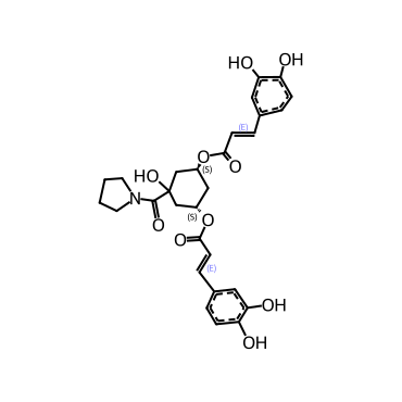 O=C(/C=C/c1ccc(O)c(O)c1)O[C@H]1C[C@H](OC(=O)/C=C/c2ccc(O)c(O)c2)CC(O)(C(=O)N2CCCC2)C1